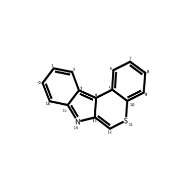 c1ccc2c3c4ccccc4scc-3nc2c1